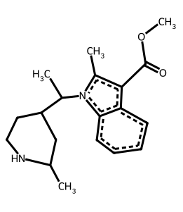 COC(=O)c1c(C)n(C(C)C2CCNC(C)C2)c2ccccc12